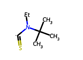 CCN([C]=S)C(C)(C)C